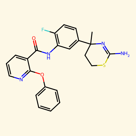 CC1(c2ccc(F)c(NC(=O)c3cccnc3Oc3ccccc3)c2)CCSC(N)=N1